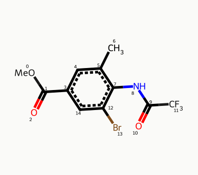 COC(=O)c1cc(C)c(NC(=O)C(F)(F)F)c(Br)c1